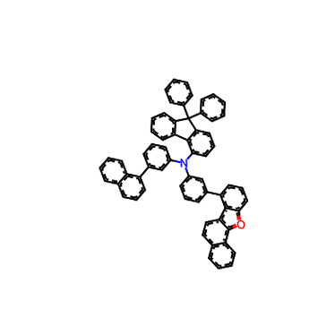 c1ccc(C2(c3ccccc3)c3ccccc3-c3c(N(c4cccc(-c5cccc6ccccc56)c4)c4cccc(-c5cccc6oc7c8ccccc8ccc7c56)c4)cccc32)cc1